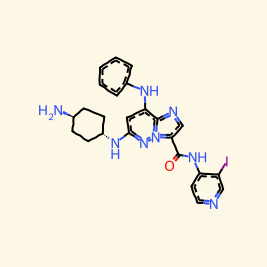 N[C@H]1CC[C@H](Nc2cc(Nc3ccccc3)c3ncc(C(=O)Nc4ccncc4I)n3n2)CC1